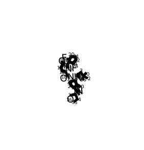 CC1(C)CCN(c2c(NC(=O)c3ccc(=O)n(-c4c(F)cccc4F)n3)ccc3c2cnn3[C@H]2CCOC2)C1